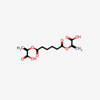 C=C(OC(=O)CCCCC(=O)OC(=C)C(=O)O)C(=O)O